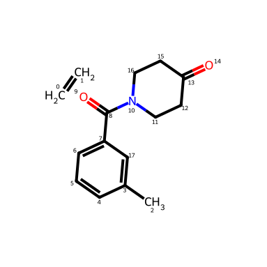 C=C.Cc1cccc(C(=O)N2CCC(=O)CC2)c1